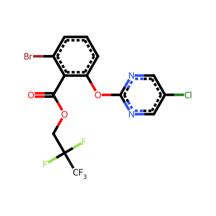 O=C(OCC(F)(F)C(F)(F)F)c1c(Br)cccc1Oc1ncc(Cl)cn1